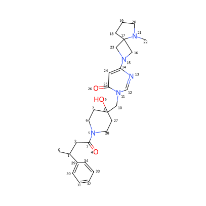 CC(CC(=O)N1CCC(O)(Cn2cnc(N3CC4(CCCN4C)C3)cc2=O)CC1)c1ccccc1